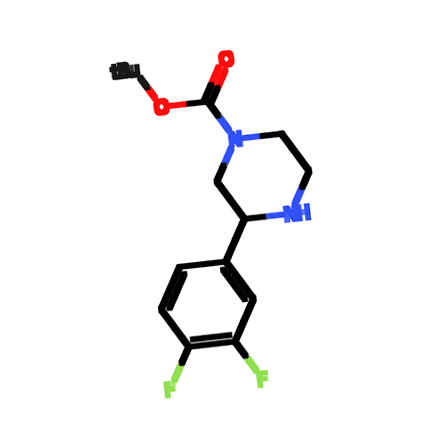 CC(C)(C)OC(=O)N1CCNC(c2ccc(F)c(F)c2)C1